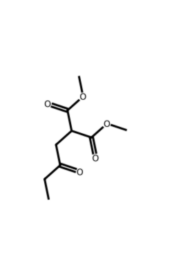 CCC(=O)CC(C(=O)OC)C(=O)OC